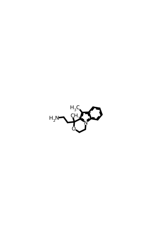 Cc1c2n(c3ccccc13)CCOC2(C)CCN